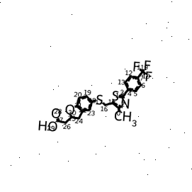 Cc1nc(-c2ccc(C(F)(F)F)cc2)sc1CSc1ccc2c(c1)CC(CC(=O)O)O2